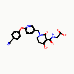 N#Cc1ccc(Oc2ccc(CN3CCC(O)=C(C(=O)NCC(=O)O)C3=O)cn2)cc1